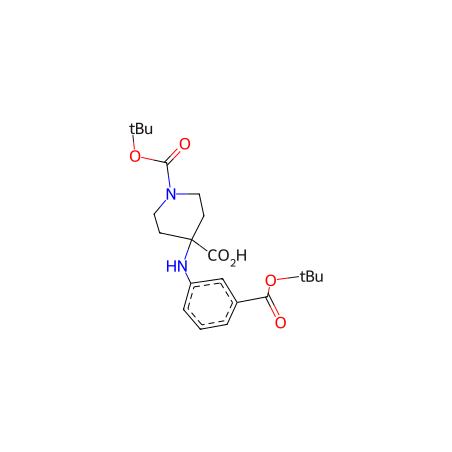 CC(C)(C)OC(=O)c1cccc(NC2(C(=O)O)CCN(C(=O)OC(C)(C)C)CC2)c1